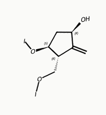 C=C1[C@H](O)C[C@H](OI)[C@H]1COI